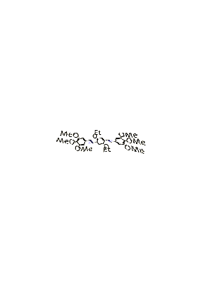 CCOc1cc(/C=C/c2cc(OC)c(OC)c(OC)c2)c(OCC)cc1/C=C/c1cc(OC)c(OC)c(OC)c1